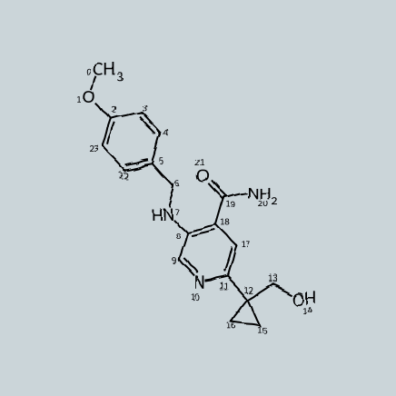 COc1ccc(CNc2cnc(C3(CO)CC3)cc2C(N)=O)cc1